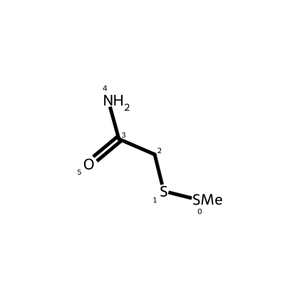 CSSCC(N)=O